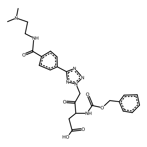 CN(C)CCNC(=O)c1ccc(-c2nnn(CC(=O)C(CC(=O)O)NC(=O)OCc3ccccc3)n2)cc1